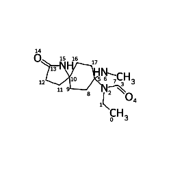 CCN(C=O)C1(NC)CCC2(CCC(=O)N2)CC1